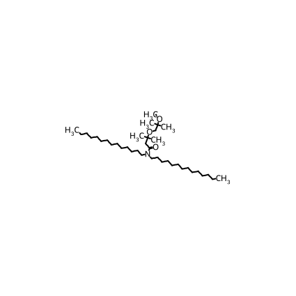 CCCCCCCCCCCCCCN(CCCCCCCCCCCCCC)C(=O)CC(C)(C)OCC(C)(C)OC